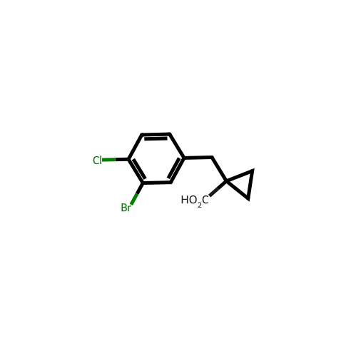 O=C(O)C1(Cc2ccc(Cl)c(Br)c2)CC1